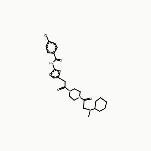 CN(CC(=O)N1CCN(C(=O)Cc2csc(NC(=O)c3ccc(Cl)cc3)n2)CC1)C1CCCCC1